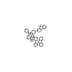 CC1(C)C2=C(CCC(c3ccc(N(c4ccccc4)c4cccc5c4Oc4ccc6c(c4O5)-c4ccccc4C64c5ccccc5-c5ccccc54)cc3)=C2)c2ccccc21